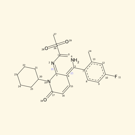 C=C(/N=C1\C(=C(/N)c2ccc(F)cc2C)C=CC(=O)N1C1CCCCC1)S(C)(=O)=O